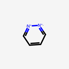 C1=CC=[N+][N+]=C1